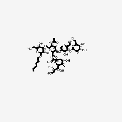 CCCCCCOC1OC(CO)[C@H](O)[C@H](OC2OC(CO[C@]3(C(=O)O)C[C@@H](O)[C@@H](C)C([C@H](O)[C@H](O)CO)O3)[C@@H](O)[C@H](O[C@@H]3OC(CO)[C@H](OC4OC(CO)[C@H](O)[C@H](O)[C@@H]4C)[C@H](O)C3O)[C@@H]2NC(C)=O)[C@@H]1O